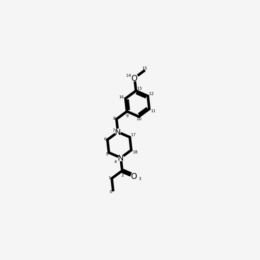 CCC(=O)N1CCN(Cc2cccc(OC)c2)CC1